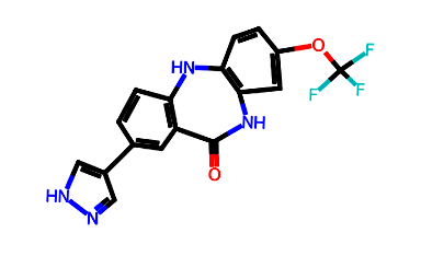 O=C1Nc2cc(OC(F)(F)F)ccc2Nc2ccc(-c3cn[nH]c3)cc21